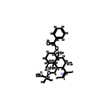 C/C=C(/C)C1[C@@H](CO[Si](C)(C)C(C)(C)C)[C@H]2[C@@H](C[C@@H]1C)[C@@H](OC(=O)c1ccccc1)CC[C@@H]2C